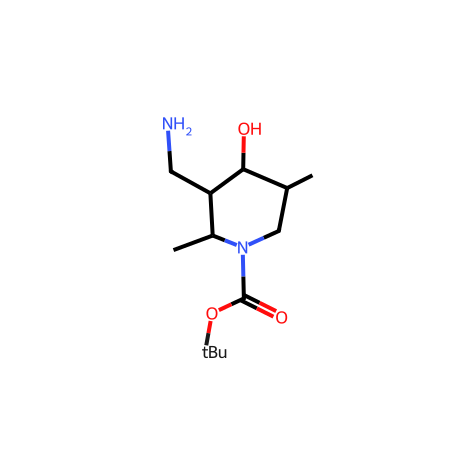 CC1CN(C(=O)OC(C)(C)C)C(C)C(CN)C1O